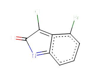 O=C1N=c2cccc(Br)c2=C1Cl